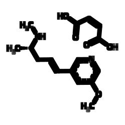 CN[C@@H](C)C/C=C/c1cncc(OC)c1.O=C(O)/C=C\C(=O)O